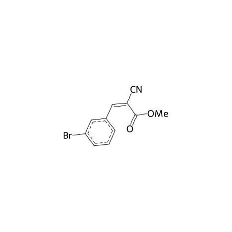 COC(=O)C(C#N)=Cc1cccc(Br)c1